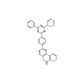 C1=CCC(c2nc(-c3ccccc3)nc(-c3ccc(-c4ncc5c(n4)C4=C(CCC=C4)NC5)cc3)n2)C=C1